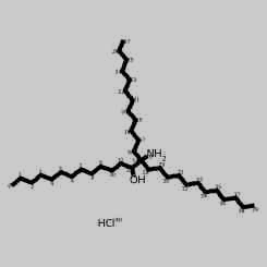 CCCCCCCCCCCCC(O)C(N)(CCCCCCCCCCCC)CCCCCCCCCCCC.Cl